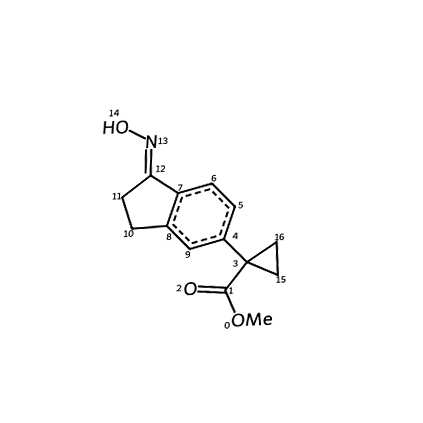 COC(=O)C1(c2ccc3c(c2)CCC3=NO)CC1